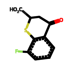 O=C1CC(C(=O)O)Sc2c(F)cccc21